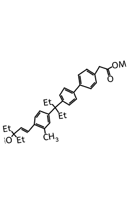 CCC(O)(/C=C/c1ccc(C(CC)(CC)c2ccc(-c3ccc(CC(=O)OC)cc3)cc2)cc1C)CC